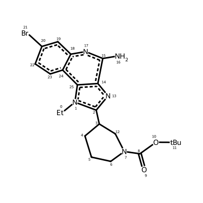 CCn1c(C2CCCN(C(=O)OC(C)(C)C)C2)nc2c(N)nc3cc(Br)ccc3c21